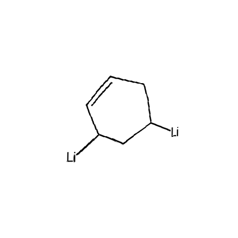 [Li][CH]1C=CC[CH]([Li])C1